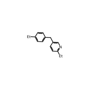 CCc1ccc(Cc2ccc(CC)nc2)cc1